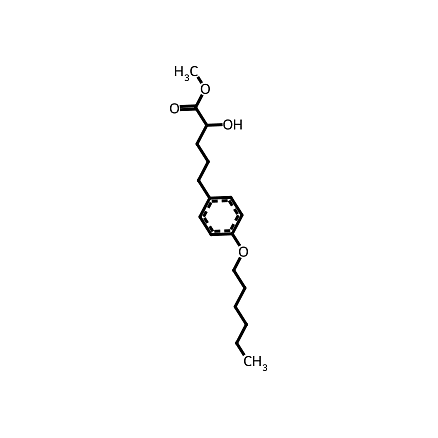 CCCCCCOc1ccc(CCCC(O)C(=O)OC)cc1